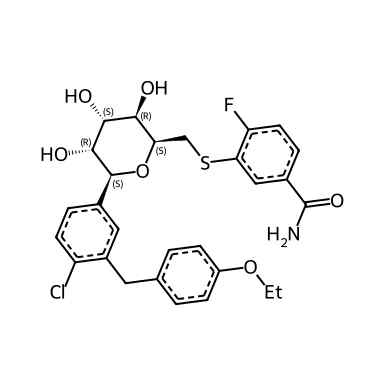 CCOc1ccc(Cc2cc([C@@H]3O[C@H](CSc4cc(C(N)=O)ccc4F)[C@H](O)[C@@H](O)[C@H]3O)ccc2Cl)cc1